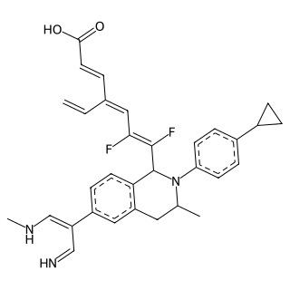 C=CC(/C=C/C(=O)O)=C\C(F)=C(/F)C1c2ccc(/C(C=N)=C/NC)cc2CC(C)N1c1ccc(C2CC2)cc1